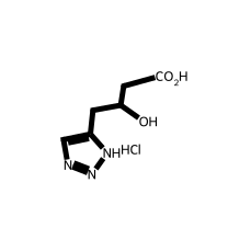 Cl.O=C(O)CC(O)Cc1cnn[nH]1